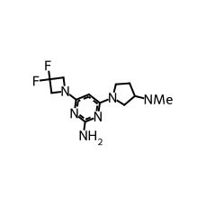 CNC1CCN(c2cc(N3CC(F)(F)C3)nc(N)n2)C1